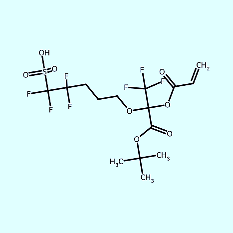 C=CC(=O)OC(OCCCC(F)(F)C(F)(F)S(=O)(=O)O)(C(=O)OC(C)(C)C)C(F)(F)F